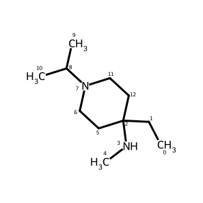 CCC1(NC)CCN(C(C)C)CC1